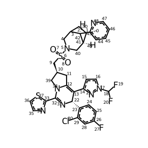 C[C@H]1CC2CN(S(=O)(=O)C[C@H]3CC4=C(c5ccn(C(F)F)n5)[C@H](c5ccc(F)cc5Cl)N=C(c5nccs5)N4C3)C[C@H]1[C@@H]2c1ccccn1